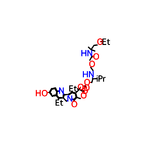 CCOCCC(C)(C)NC(=O)COCCNC(COC(=O)OC1(CC)C(=O)OCc2c1cc1n(c2=O)Cc2c-1nc1ccc(O)cc1c2CC)C(C)C